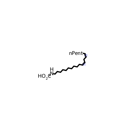 CCCCC/C=C\C/C=C\CCCCCCCCCCNC(=O)O